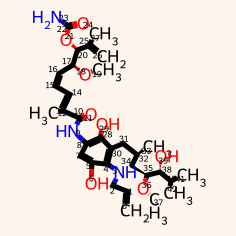 C=CCNc1c(O)cc(NC(=O)/C(C)=C/C=C\[C@H](OC)[C@@H](OC(N)=O)C(=C)C)c(O)c1C[C@@H](C)C[C@H](OC)[C@H](O)C(C)C